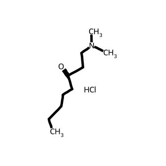 CCCCCC(=O)CCN(C)C.Cl